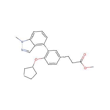 COC(=O)CCc1ccc(OC2CCCC2)c(-c2cccc3c2cnn3C)c1